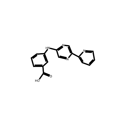 O=C(O)c1cccc(Nc2cnc(-c3ccccn3)cn2)c1